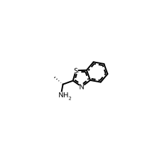 C[C@@H](N)c1nc2ccccc2s1